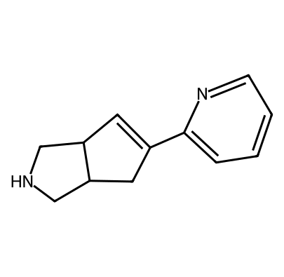 C1=C(c2ccccn2)CC2CNCC12